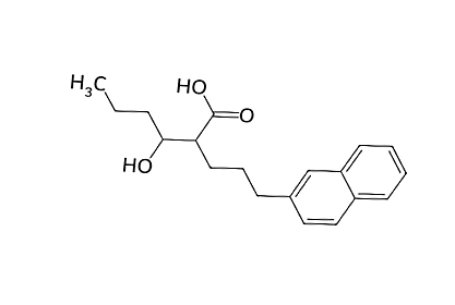 CCCC(O)C(CCCc1ccc2ccccc2c1)C(=O)O